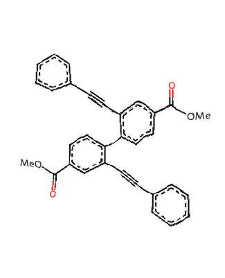 COC(=O)c1ccc(-c2ccc(C(=O)OC)cc2C#Cc2ccccc2)c(C#Cc2ccccc2)c1